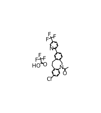 CC(=O)N1Cc2ccc(-c3ccc(C(F)(F)F)cn3)cc2CCc2cc(Cl)ccc21.O=C(O)C(F)(F)F